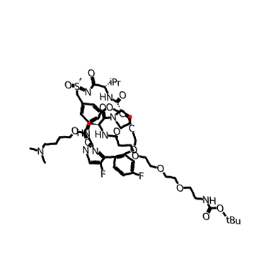 CC(C)[C@H](NC(=O)[C@@H]1CCCN1C(=O)[C@H](CC(=O)OCCCCN(C)C)NC(=O)CCOCCOCCOCCNC(=O)OC(C)(C)C)C(=O)N=[S@](C)(=O)Cc1cc2cc(c1)OCCCCOc1cc(F)ccc1-c1nc(ncc1F)N2